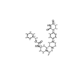 CC(CN1CCN(c2ccc(C3CCC(=O)NC3=O)cc2)CC1)N1CCC(NC(=O)OCc2ccccc2)CC1